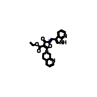 CCOC(=O)C1=C(N2CCc3cccnc3C2)O/C(=C\c2c[nH]c3ncccc23)C1=O